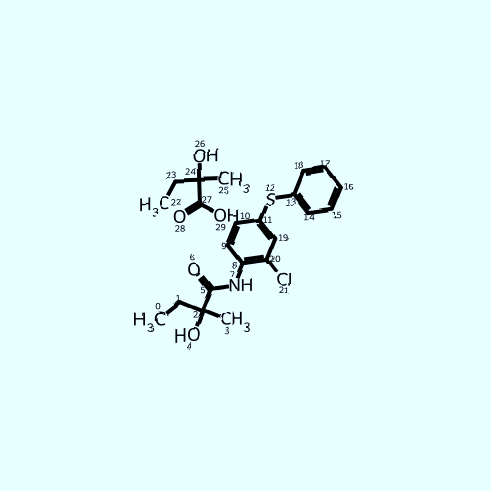 CCC(C)(O)C(=O)Nc1ccc(Sc2ccccc2)cc1Cl.CCC(C)(O)C(=O)O